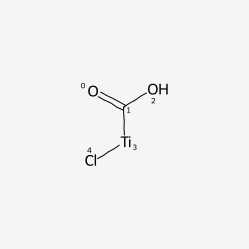 O=[C](O)[Ti][Cl]